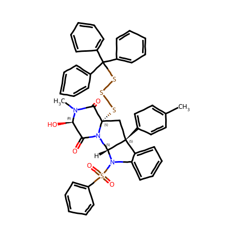 Cc1ccc([C@]23C[C@]4(SSSC(c5ccccc5)(c5ccccc5)c5ccccc5)C(=O)N(C)[C@H](O)C(=O)N4[C@H]2N(S(=O)(=O)c2ccccc2)c2ccccc23)cc1